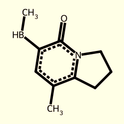 CBc1cc(C)c2n(c1=O)CCC2